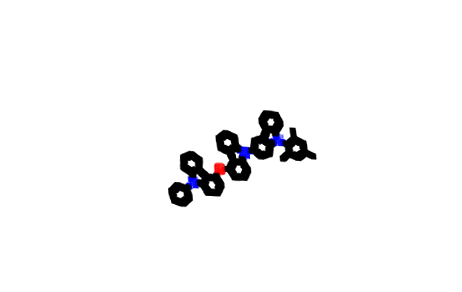 Cc1cc(C)c(-n2c3ccccc3c3cc(-n4c5ccccc5c5c(Oc6cccc7c6c6ccccc6n7-c6ccccc6)cccc54)ccc32)c(C)c1